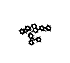 C1=CC2=C(c3ccc4c(c3)oc3ccccc34)C=CC(N(c3ccc4c5ccccc5n(-c5ccccc5)c4c3)c3cccc4c3sc3ccccc34)C2C=C1